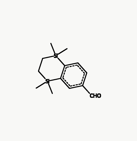 C[Si]1(C)CC[Si](C)(C)c2cc(C=O)ccc21